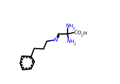 NC(N)(C=NCCCc1ccccc1)C(=O)O